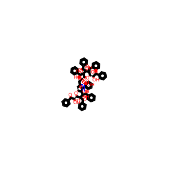 O=C(O)NC(C[C@@H]1O[C@H](C(O)C(=O)c2ccccc2)[C@](O)(C(=O)c2ccccc2)[C@@](O)(C(=O)c2ccccc2)[C@@]1(O)C(=O)c1ccccc1)CC(O)(O)[C@@H]1O[C@H](C(O)C(=O)c2ccccc2)[C@](O)(C(=O)c2ccccc2)[C@@](O)(C(=O)c2ccccc2)[C@@]1(O)C(=O)c1ccccc1